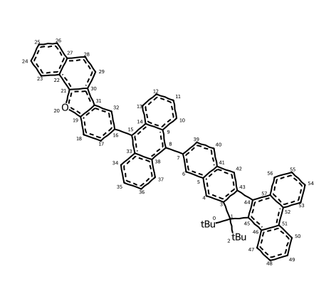 CC(C)(C)C1(C(C)(C)C)c2cc3cc(-c4c5ccccc5c(-c5ccc6oc7c8ccccc8ccc7c6c5)c5ccccc45)ccc3cc2-c2c1c1ccccc1c1ccccc21